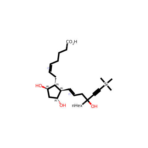 CCCCCCC(O)(C#C[Si](C)(C)C)C/C=C/[C@@H]1[C@@H](C/C=C\CCCC(=O)O)[C@H](O)C[C@H]1O